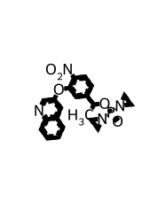 CC(OP(=O)(N1CC1)N1CC1)c1ccc([N+](=O)[O-])c(Oc2cnc3ccccc3c2)c1